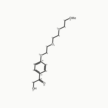 COCCOCCOCCOc1ccc(C(=O)CO)cc1